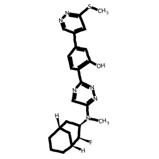 CSc1cc(-c2ccc(-c3ncc(N(C)[C@@H]4C[C@H]5CCC[C@H](C5)[C@@H]4F)nn3)c(O)c2)cnn1